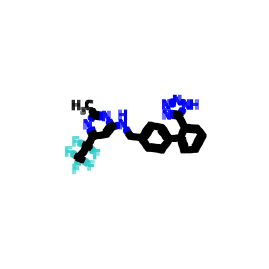 Cc1nc(NCc2ccc(-c3ccccc3-c3nnn[nH]3)cc2)cc(C(F)(F)C(F)(F)F)n1